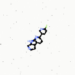 Fc1ccc(-c2ccc3c(n2)[nH]c2cnccc23)cn1